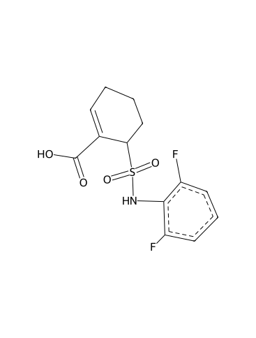 O=C(O)C1=CCCCC1S(=O)(=O)Nc1c(F)cccc1F